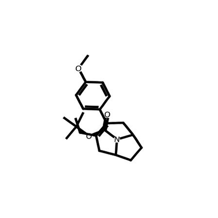 CCC1=C(c2ccc(OC)cc2)CC2CCC(C1)N2C(=O)OC(C)(C)C